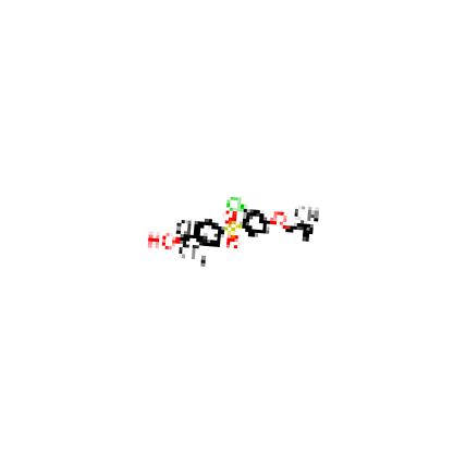 CC(O)(c1ccc(S(=O)(=O)c2ccc(OCC3(C#N)CC3)cc2Cl)cc1)C(F)(F)F